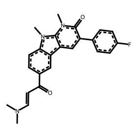 CN(C)C=CC(=O)c1ccc2c(c1)c1cc(-c3ccc(F)cc3)c(=O)n(C)c1n2C